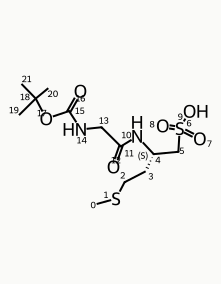 CSCC[C@@H](CS(=O)(=O)O)NC(=O)CNC(=O)OC(C)(C)C